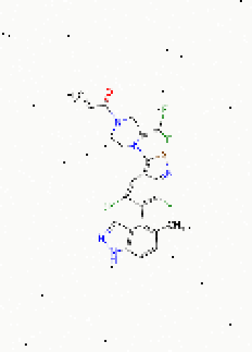 C=CC(=O)N1CCN(c2snc3c(F)c(-c4c(C)ccc5[nH]ncc45)c(Cl)cc23)[C@@H](C(F)F)C1